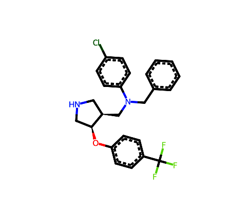 FC(F)(F)c1ccc(O[C@H]2CNC[C@H]2CN(Cc2ccccc2)c2ccc(Cl)cc2)cc1